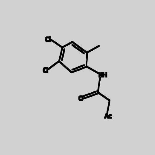 CC(=O)CC(=O)Nc1cc(Cl)c(Cl)cc1C